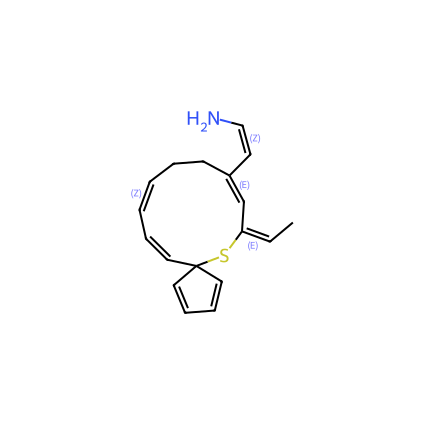 C\C=C1/C=C(/C=C\N)CC/C=C\C=CC2(C=CC=C2)S1